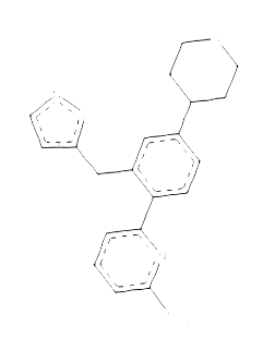 Nc1cccc(-c2ccc(C3CCNCC3)cc2Cc2ccns2)n1